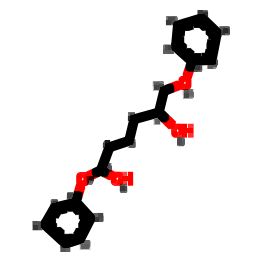 OC(CCCC(O)Oc1ccccc1)COc1ccccc1